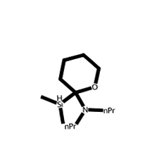 CCCN(CCC)C1([SiH](C)C)CCCCO1